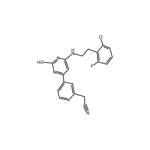 N#CCc1cccc(-c2cc(NCCc3c(F)cccc3Cl)nc(O)n2)c1